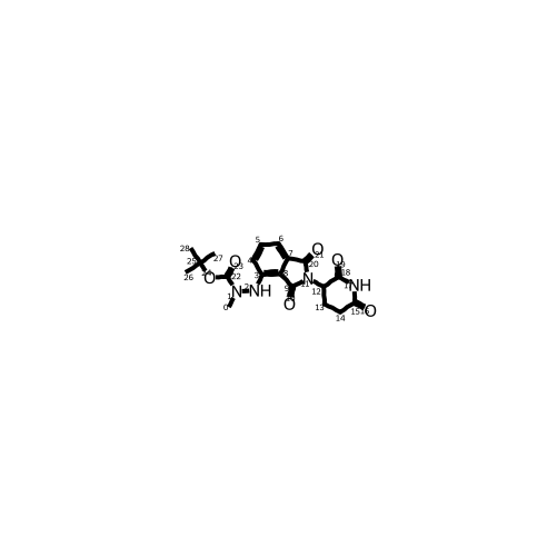 CN(Nc1cccc2c1C(=O)N(C1CCC(=O)NC1=O)C2=O)C(=O)OC(C)(C)C